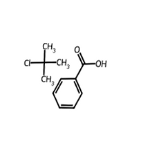 CC(C)(C)Cl.O=C(O)c1ccccc1